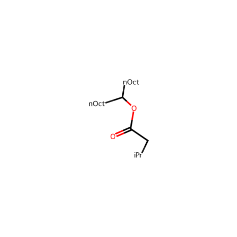 CCCCCCCCC(CCCCCCCC)OC(=O)CC(C)C